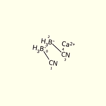 [BH3-]C#N.[BH3-]C#N.[Ca+2]